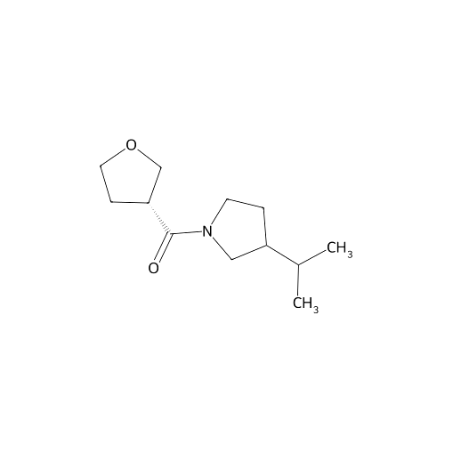 CC(C)C1CCN(C(=O)[C@@H]2CCOC2)C1